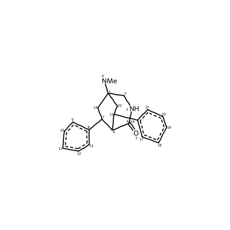 CNC12CNC(=O)C(C(c3ccccc3)C1)C(c1ccccc1)C2